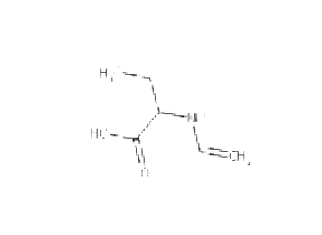 C=CNC(CC)C(=O)O